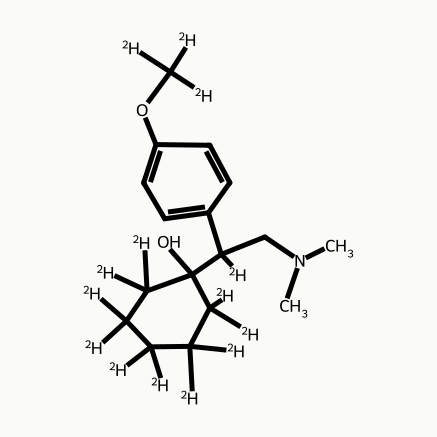 [2H]C([2H])([2H])Oc1ccc(C([2H])(CN(C)C)C2(O)C([2H])([2H])C([2H])([2H])C([2H])([2H])C([2H])([2H])C2([2H])[2H])cc1